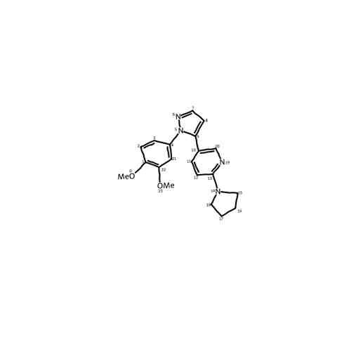 COc1ccc(-n2nccc2-c2ccc(N3CCCC3)nc2)cc1OC